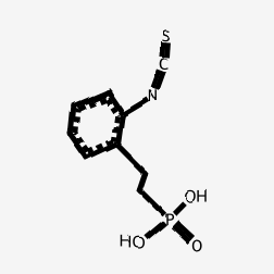 O=P(O)(O)CCc1ccccc1N=C=S